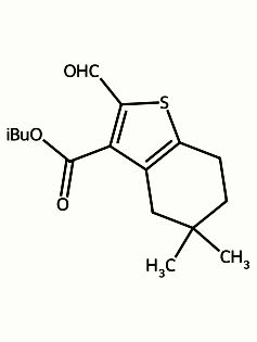 CC(C)COC(=O)c1c(C=O)sc2c1CC(C)(C)CC2